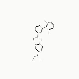 Cc1cccc(C)c1-c1cccc(C2COc3cc(CCC(=O)O)ccc3N2)c1